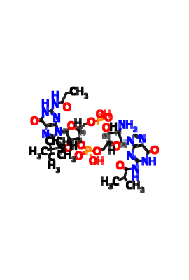 CCC(=O)Nc1nc2c(ncn2[C@@H]2O[C@@H]3COP(=O)(O)O[C@H]4[C@@H](N)[C@H](n5cnc6c(=O)[nH]c(NC(=O)C(C)C)nc65)O[C@@H]4COP(=O)(O)O[C@H]3[C@H]2O[Si](C)(C)C(C)(C)C)c(=O)[nH]1